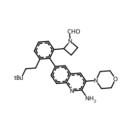 CC(C)(C)CCc1cccc(C2CCN2C=O)c1-c1ccc2nc(N)c(N3CCOCC3)cc2c1